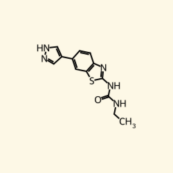 CCNC(=O)Nc1nc2ccc(-c3cn[nH]c3)cc2s1